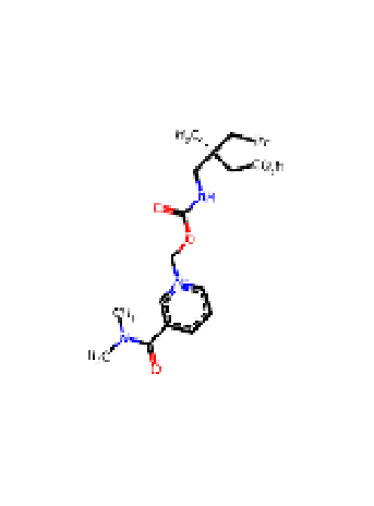 CC(C)C[C@](C)(CNC(=O)OC[n+]1cccc(C(=O)N(C)C)c1)CC(=O)O